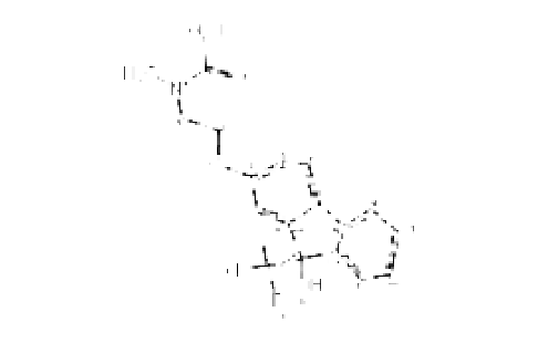 CC(=O)N(C)CCOc1ccc2c(c1)C(O)(C(F)(F)F)c1ccccc1-2